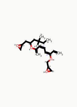 C=C/C(=C\C=C/C(=C)OC(CC1CO1)CC(C)(C)CC)OCC1CO1